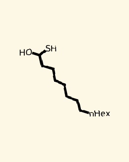 CCCCCCCCCCCCCC(O)S